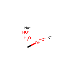 CO.O.[K+].[Na+].[OH-].[OH-]